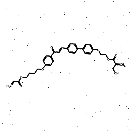 C=CC(=O)OCCCCOc1ccc(C(=O)/C=C/c2ccc(-c3ccc(OCCOC(=O)C(=C)CO)cc3)cc2)cc1